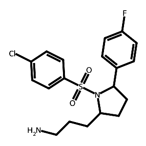 NCCCC1CCC(c2ccc(F)cc2)N1S(=O)(=O)c1ccc(Cl)cc1